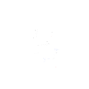 O=c1[nH]cc(C=CI)c(=O)[nH]1